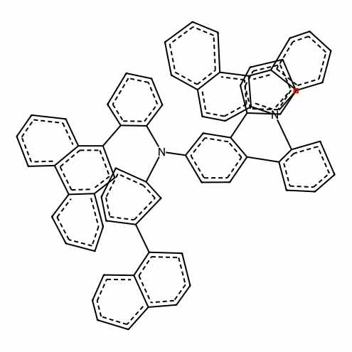 c1ccc(-c2cc(N(c3cccc(-c4cccc5ccccc45)c3)c3ccccc3-c3cc4ccccc4c4ccccc34)ccc2-c2ccccc2-n2c3ccccc3c3c4ccccc4ccc32)cc1